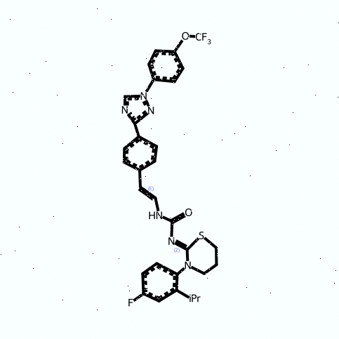 CC(C)c1cc(F)ccc1N1CCCS/C1=N\C(=O)N/C=C/c1ccc(-c2ncn(-c3ccc(OC(F)(F)F)cc3)n2)cc1